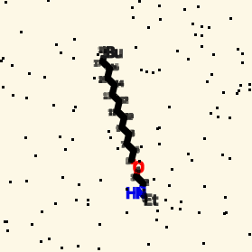 CCNCCOCCCCCCCCCCCCCC(C)CC